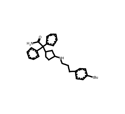 CC(C)(C)c1ccc(CCCNC2CCC(C(C(N)=O)(c3ccccc3)c3ccccc3)C2)cc1